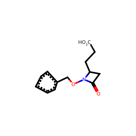 O=C(O)CCC1CC(=O)N1OCc1ccccc1